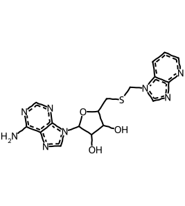 Nc1ncnc2c1ncn2C1OC(CSCn2cnc3ncccc32)C(O)C1O